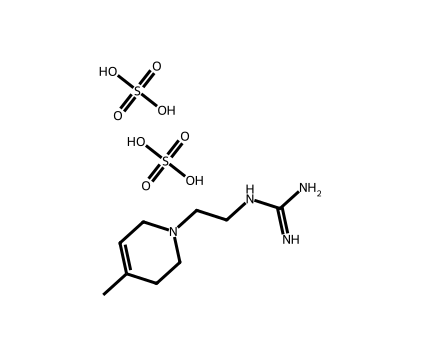 CC1=CCN(CCNC(=N)N)CC1.O=S(=O)(O)O.O=S(=O)(O)O